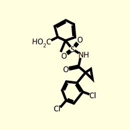 CC1(S(=O)(=O)NC(=O)C2(c3ccc(Cl)cc3Cl)CC2)C=CC=CC1C(=O)O